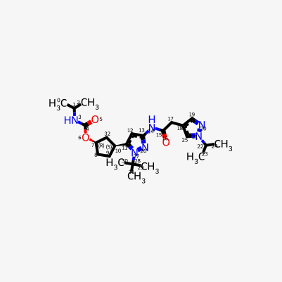 CC(C)NC(=O)O[C@@H]1CC[C@H](c2cc(NC(=O)Cc3cnn(C(C)C)c3)nn2C(C)(C)C)C1